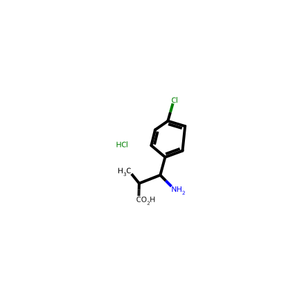 CC(C(=O)O)C(N)c1ccc(Cl)cc1.Cl